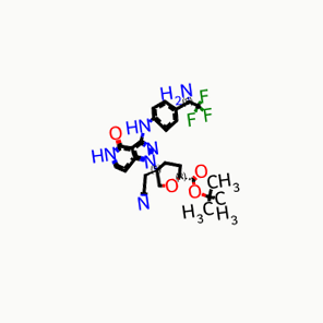 CC(C)(C)OC(=O)[C@H]1CC[C@@](CC#N)(n2nc(Nc3ccc([C@H](N)C(F)(F)F)cc3)c3c(=O)[nH]ccc32)CO1